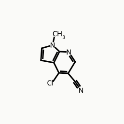 Cn1ccc2c(Cl)c(C#N)cnc21